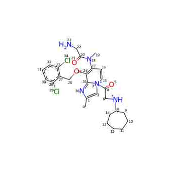 CC1=C[N+]2(C(=O)CNC3CCCCCC3)C=CC(N(C)C(=O)CN)=C(OCc3c(Cl)cccc3Cl)C2=N1